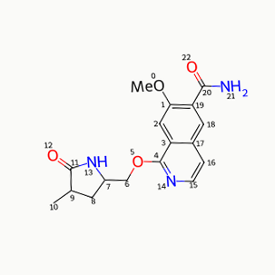 COc1cc2c(OCC3CC(C)C(=O)N3)nccc2cc1C(N)=O